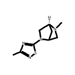 Cc1nsc(N2C[C@@H]3CC2CN3C)n1